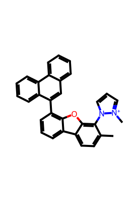 Cc1ccc2c(oc3c(-c4cc5ccccc5c5ccccc45)cccc32)c1-n1ccc[n+]1C